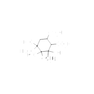 CC1(C(=O)O)CC(C(=O)O)C(C(=O)O)C(C)(C)C1(C)C(=O)O